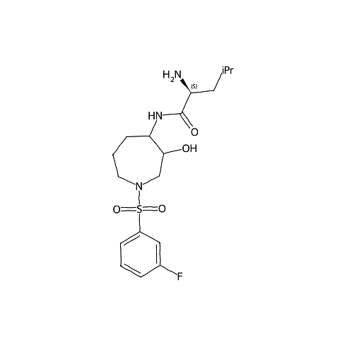 CC(C)C[C@H](N)C(=O)NC1CCCN(S(=O)(=O)c2cccc(F)c2)CC1O